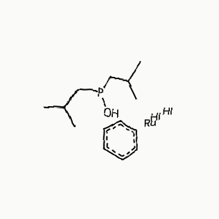 CC(C)CP(O)CC(C)C.I.I.[Ru].c1ccccc1